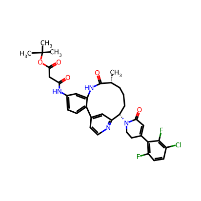 C[C@@H]1CCC[C@H](N2CCC(c3c(F)ccc(Cl)c3F)=CC2=O)c2cc(ccn2)-c2ccc(NC(=O)CC(=O)OC(C)(C)C)cc2NC1=O